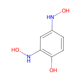 ONc1ccc(O)c(NO)c1